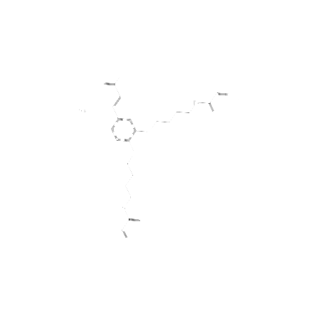 C=CC(=O)NCCCCOc1ccc(C=CC(=O)[O-])cc1OCCCCNC(=O)C=C.[Na+]